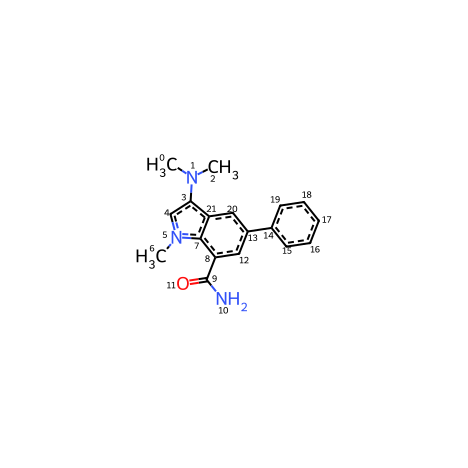 CN(C)c1cn(C)c2c(C(N)=O)cc(-c3ccccc3)cc12